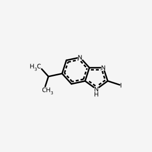 CC(C)c1cnc2nc(I)[nH]c2c1